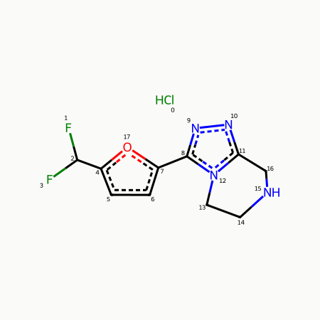 Cl.FC(F)c1ccc(-c2nnc3n2CCNC3)o1